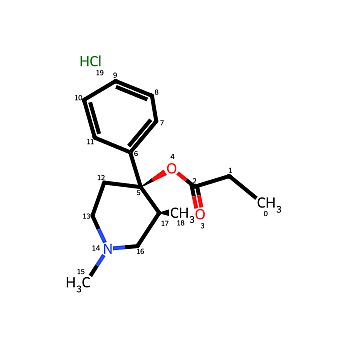 CCC(=O)O[C@]1(c2ccccc2)CCN(C)C[C@@H]1C.Cl